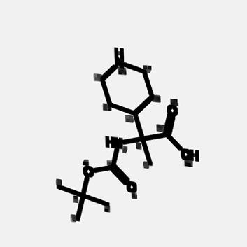 CC(C)(C)OC(=O)NC(C)(C(=O)O)C1CCNCC1